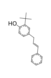 CC(C)(C)c1cc(CC=Cc2ccccc2)ccc1O